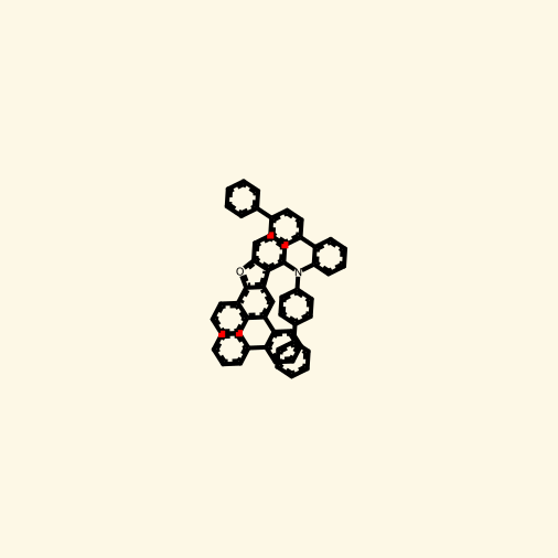 c1ccc(-c2ccc(-c3ccccc3N(c3ccc(-c4ccccc4)cc3)c3cccc4oc5c6ccccc6c(-c6ccccc6-c6ccccc6)cc5c34)cc2)cc1